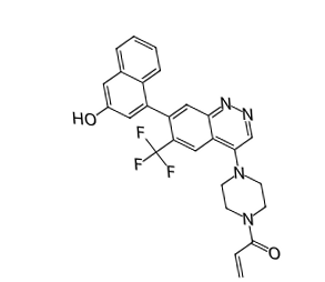 C=CC(=O)N1CCN(c2cnnc3cc(-c4cc(O)cc5ccccc45)c(C(F)(F)F)cc23)CC1